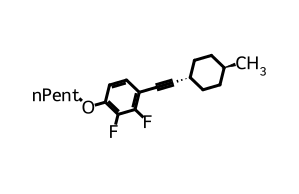 CCCCCOc1ccc(C#C[C@H]2CC[C@H](C)CC2)c(F)c1F